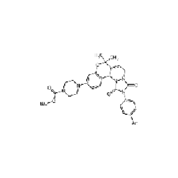 CC(=O)c1ccc(-n2c(=O)n3n(c2=O)C2C(=CC3)C(C)(C)Oc3cc(N4CCN(C(=O)OC(C)(C)C)CC4)ccc32)cc1